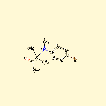 COC(=O)C(C)(C=O)N(C)c1ccc(Br)cc1